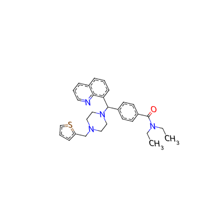 CCN(CC)C(=O)c1ccc(C(c2cccc3cccnc23)N2CCN(Cc3cccs3)CC2)cc1